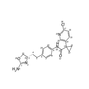 NC1=N[C@@H](CCc2ccc(NC(=O)C3(c4ccc(Cl)nc4)CC3)cc2)CO1